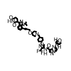 CC(C)n1nc(C2CCC(=O)NC2=O)c2cccc(C#CCOC3CCN(CC4CCC(n5cc(NC(=O)c6cnn7ccc(N8C[C@@H]9C[C@H]8CO9)nc67)c(C(F)F)n5)CC4)CC3)c21